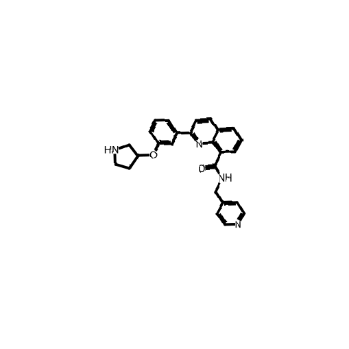 O=C(NCc1ccncc1)c1cccc2ccc(-c3cccc(OC4CCNC4)c3)nc12